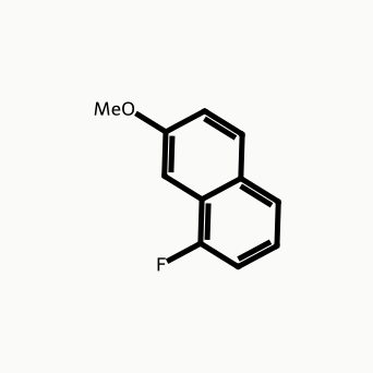 COc1ccc2cccc(F)c2c1